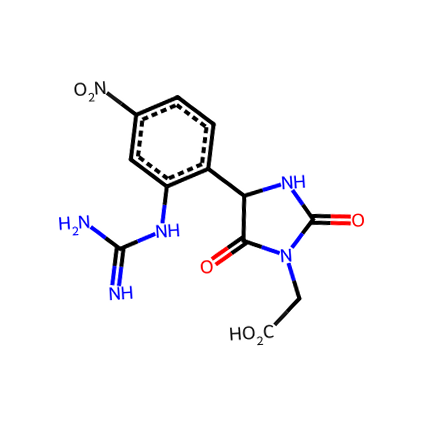 N=C(N)Nc1cc([N+](=O)[O-])ccc1C1NC(=O)N(CC(=O)O)C1=O